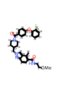 COCCNC(=O)c1ccc2nn(CC3CCN(C(=O)c4ccc(Oc5ccccc5F)cc4)CC3)cc2c1C